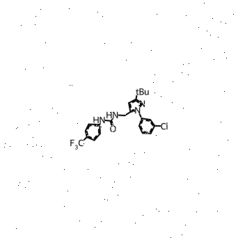 CC(C)(C)c1cc(CNC(=O)Nc2ccc(C(F)(F)F)cc2)n(-c2cccc(Cl)c2)n1